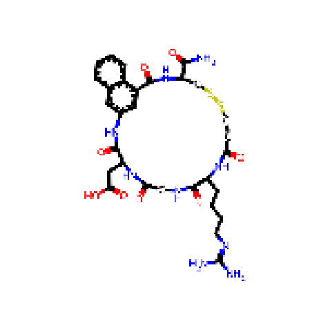 NC(=O)C1CSSCCC(=O)NC(CCCCN=C(N)N)C(=O)NCC(=O)NC(CC(=O)O)C(=O)Nc2cc(c3ccccc3c2)C(=O)N1